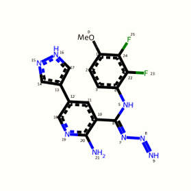 COc1ccc(N/C(=N\N=N)c2cc(-c3cn[nH]c3)cnc2N)c(F)c1F